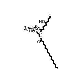 CCCCCCCCCCCCCCCC(=O)OCC(COP(=O)(O)OCC[N+](C)(C)C)OC(=O)C=CCC(O)CCC=O